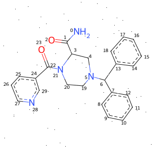 NC(=O)C1CN(C(c2ccccc2)c2ccccc2)CCN1C(=O)c1cccnc1